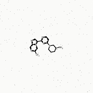 N[C@H]1CCCN(c2ccnc(-c3cnc4cnc(C(F)(F)F)cn34)n2)C1